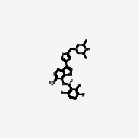 CC1CN(Cc2cc(-c3coc4c(O[C@H](C)c5c(Cl)ccc(F)c5Cl)c(N)ncc34)cs2)CC(C)N1